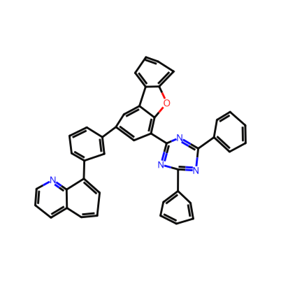 c1ccc(-c2nc(-c3ccccc3)nc(-c3cc(-c4cccc(-c5cccc6cccnc56)c4)cc4c3oc3ccccc34)n2)cc1